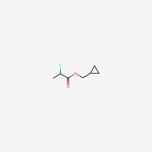 CC(F)C(=O)OCC1CC1